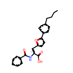 CCCCc1ccc(-c2ccc(/C=C(/NC(=O)c3ccccc3)C(=O)O)o2)cc1